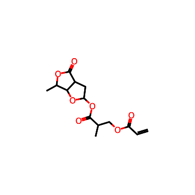 C=CC(=O)OCC(C)C(=O)OC1CC2C(=O)OC(C)C2O1